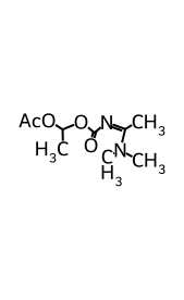 CC(=O)OC(C)OC(=O)/N=C(/C)N(C)C